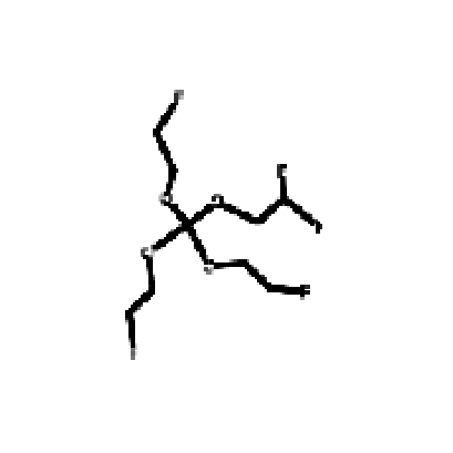 FCCOC(OCCF)(OCCF)OCC(F)F